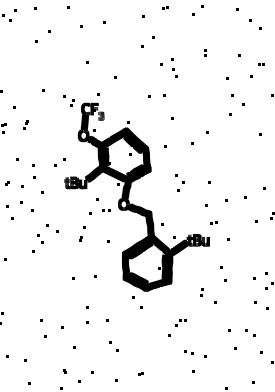 CC(C)(C)c1ccccc1COc1cccc(OC(F)(F)F)c1C(C)(C)C